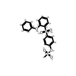 CS(=O)(=O)Oc1ccc(S(=O)(=O)c2ccccc2Oc2ccccc2)cc1